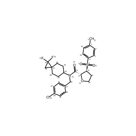 Cc1ccc(S(=O)(=O)[C@H]2CCO[C@@H]2C(=O)N(Cc2ccc(Cl)cc2)C2CCC3(CC2)CC3(F)F)cc1